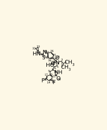 CC(C)CN(C[C@@H](O)[C@H](Cc1cc(F)cc(F)c1)NC=O)S(=O)(=O)c1ccc2nc(NC3CC3)sc2c1